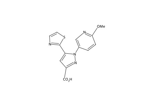 COc1ccc(-n2nc(C(=O)O)cc2-c2nccs2)cn1